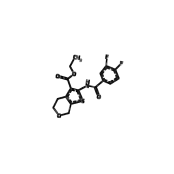 CCOC(=O)c1c(NC(=O)c2ccc(F)c(F)c2)sc2c1CCOC2